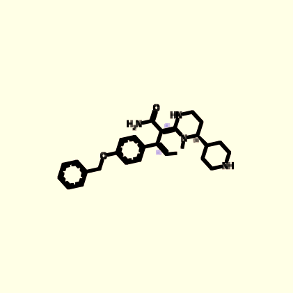 C/C=C(\C(C(N)=O)=C1\NCC[C@@H](C2CCNCC2)N1C)c1ccc(OCc2ccccc2)cc1